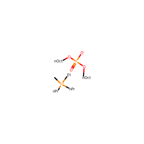 CCCCCCCCOP(=O)([O-])OCCCCCCCC.CCC[P+](C)(CC)CCC